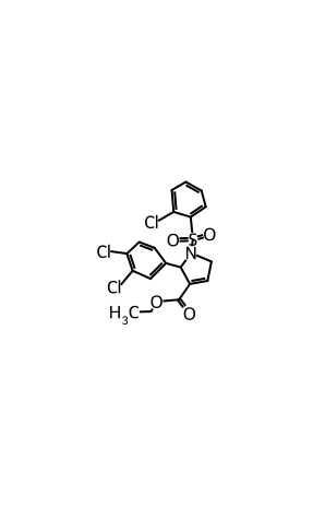 CCOC(=O)C1=CCN(S(=O)(=O)c2ccccc2Cl)C1c1ccc(Cl)c(Cl)c1